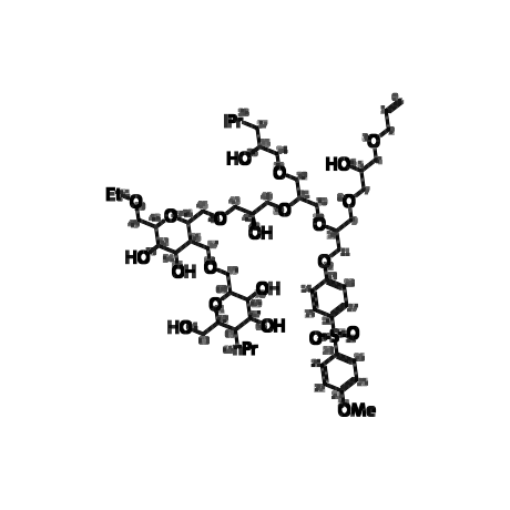 C=CCOCC(O)COCC(COc1ccc(S(=O)(=O)c2ccc(OC)cc2)cc1)OCC(COCC(O)CC(C)C)OC[C@@H](O)COCC1OC(COCC)C(O)C(O)C1COCC1OC(CO)C(CCC)C(O)C1O